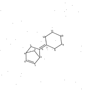 C1=CC2CC1CC2=C1CCCCC1